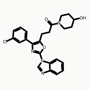 O=C(CCc1oc(-n2cnc3ccccc32)nc1-c1cccc(Cl)c1)N1CCC(O)CC1